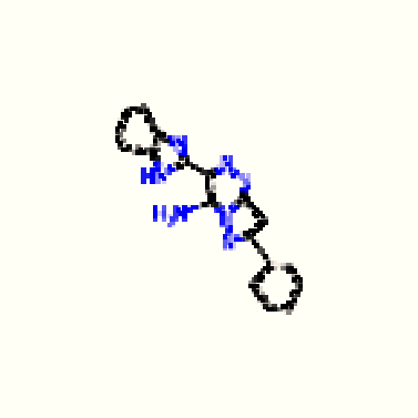 Nc1c(-c2nc3ccccc3[nH]2)nnc2cc(-c3ccccc3)nn12